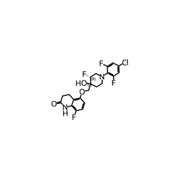 O=C1CCc2c(OC[C@@]3(O)CCN(c4c(F)cc(Cl)cc4F)C[C@H]3F)ccc(F)c2N1